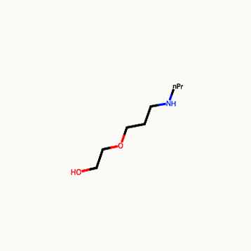 CCCNCCCOCCO